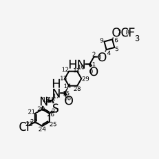 O=C(CO[C@H]1C[C@@H](OC(F)(F)F)C1)N[C@H]1CC[C@H](C(=O)Nc2nc3cc(Cl)ccc3s2)CC1